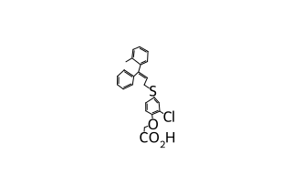 Cc1ccccc1C(=CCSc1ccc(OCC(=O)O)c(Cl)c1)c1ccccc1